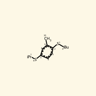 CCC(C)Sc1ccc(SC(C)C)cc1C